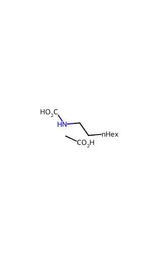 CC(=O)O.CCCCCCCCNC(=O)O